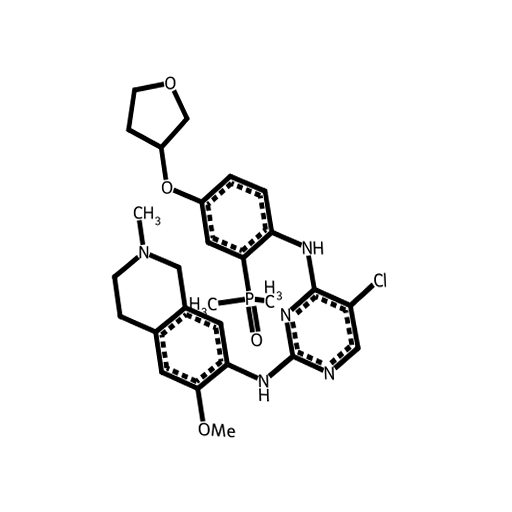 COc1cc2c(cc1Nc1ncc(Cl)c(Nc3ccc(OC4CCOC4)cc3P(C)(C)=O)n1)CN(C)CC2